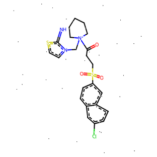 N=c1sccn1C[N+]1(C(=O)CCS(=O)(=O)c2ccc3cc(Cl)ccc3c2)CCCCC1